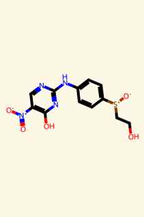 O=[N+]([O-])c1cnc(Nc2ccc([S+]([O-])CCO)cc2)nc1O